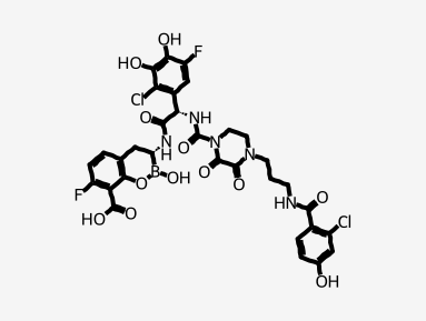 O=C(NCCCN1CCN(C(=O)N[C@H](C(=O)N[C@H]2Cc3ccc(F)c(C(=O)O)c3OB2O)c2cc(F)c(O)c(O)c2Cl)C(=O)C1=O)c1ccc(O)cc1Cl